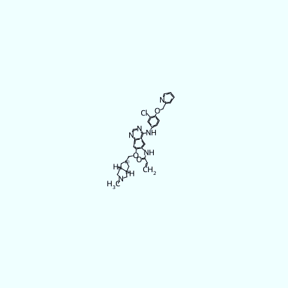 C=CC(=O)Nc1cc2c(Nc3ccc(OCc4ccccn4)c(Cl)c3)ncnc2cc1OC[C@H]1C[C@@H]2CN(C)C[C@@H]2C1